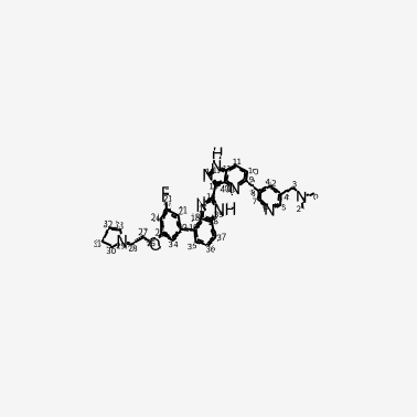 CN(C)Cc1cncc(-c2ccc3[nH]nc(-c4nc5c(-c6cc(F)cc(OCCN7CCCC7)c6)cccc5[nH]4)c3n2)c1